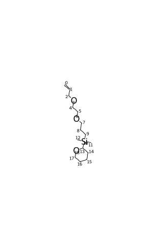 C=CCOCCOCCC[Si](C)(C)C1CCCCO1